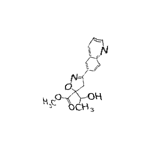 COC(=O)C1(C(C)O)CC(c2ccc3ncccc3c2)=NO1